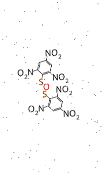 O=[N+]([O-])c1cc([N+](=O)[O-])c(SOSc2c([N+](=O)[O-])cc([N+](=O)[O-])cc2[N+](=O)[O-])c([N+](=O)[O-])c1